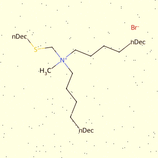 CCCCCCCCCCCCCC[N+](C)(CCCCCCCCCCCCCC)CSCCCCCCCCCC.[Br-]